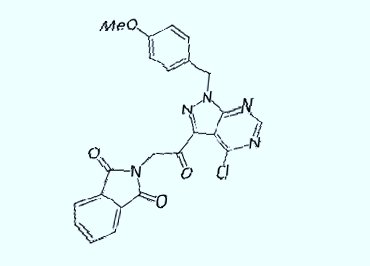 COc1ccc(Cn2nc(C(=O)CN3C(=O)c4ccccc4C3=O)c3c(Cl)ncnc32)cc1